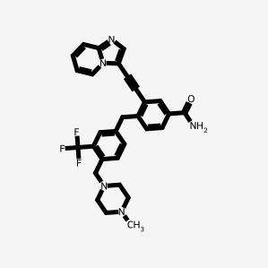 CN1CCN(Cc2ccc(Cc3ccc(C(N)=O)cc3C#Cc3cnc4ccccn34)cc2C(F)(F)F)CC1